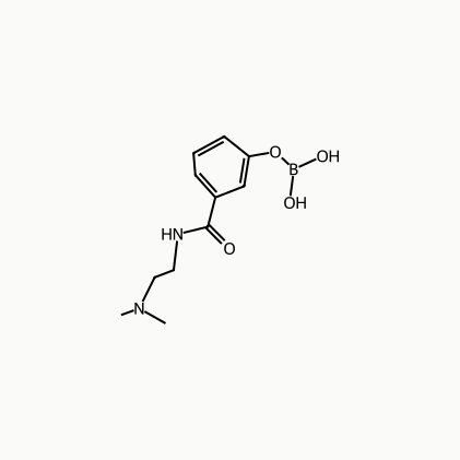 CN(C)CCNC(=O)c1cccc(OB(O)O)c1